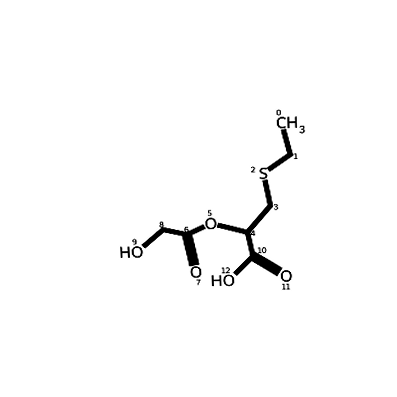 CCSCC(OC(=O)CO)C(=O)O